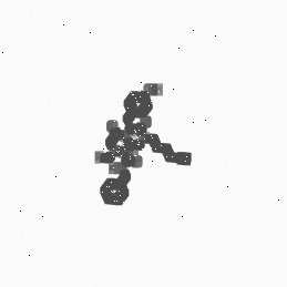 C#CCCCCN1C[C@H]2N(C(=O)CN(CF)N2C(=O)NCc2ccccc2)[C@@H](Cc2ccc(O)cc2)C1=O